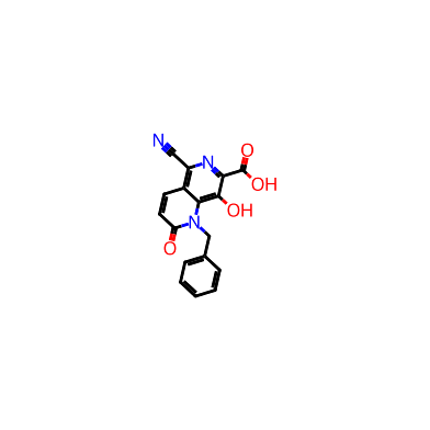 N#Cc1nc(C(=O)O)c(O)c2c1ccc(=O)n2Cc1ccccc1